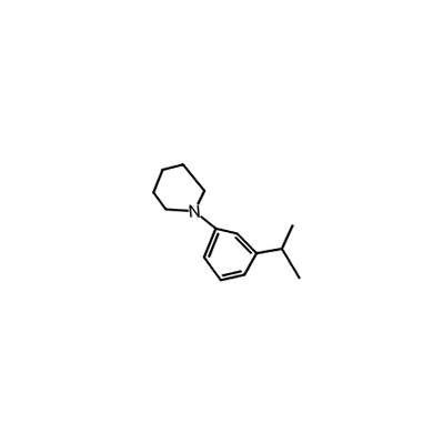 CC(C)c1cccc(N2CCCCC2)c1